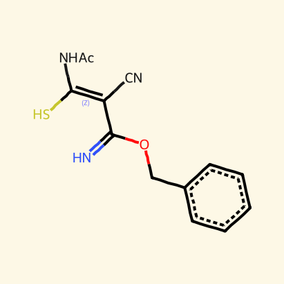 CC(=O)N/C(S)=C(\C#N)C(=N)OCc1ccccc1